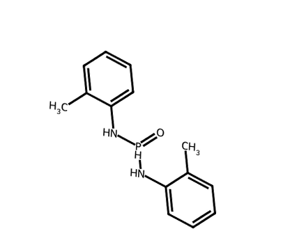 Cc1ccccc1N[PH](=O)Nc1ccccc1C